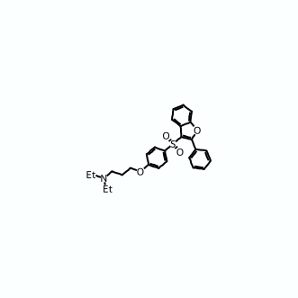 CCN(CC)CCCOc1ccc(S(=O)(=O)c2c(-c3ccccc3)oc3ccccc23)cc1